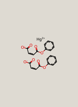 O=C([O-])/C=C\C(=O)Oc1ccccc1.O=C([O-])/C=C\C(=O)Oc1ccccc1.[Hg+2]